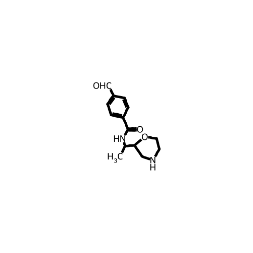 CC(NC(=O)c1ccc(C=O)cc1)C1CNCCO1